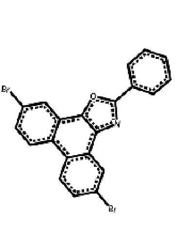 Brc1ccc2c3ccc(Br)cc3c3oc(-c4ccccc4)nc3c2c1